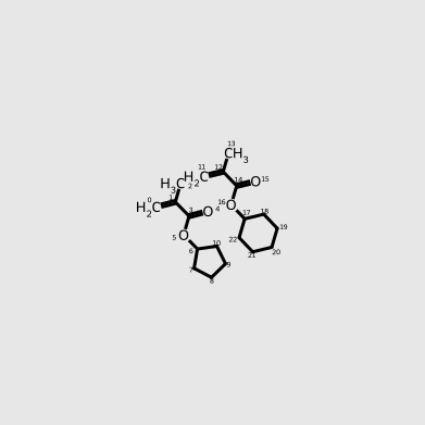 C=C(C)C(=O)OC1CCCC1.C=C(C)C(=O)OC1CCCCC1